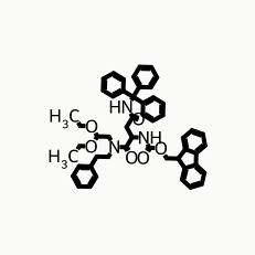 CCOC(CN(CCc1ccccc1)C(=O)C(CC(=O)NC(c1ccccc1)(c1ccccc1)c1ccccc1)NC(=O)OCC1c2ccccc2-c2ccccc21)OCC